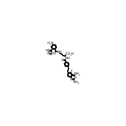 Nc1ccc(C(=O)NCCCC(NC(=O)c2ccc(CCc3ccc4nc(N)nc(N)c4c3F)cc2)C(=O)O)c(-c2nnn[nH]2)c1